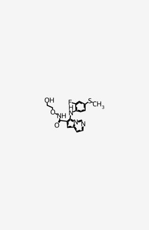 CSc1ccc(Nc2c(C(=O)NOCCO)cc3ccncn23)c(F)c1